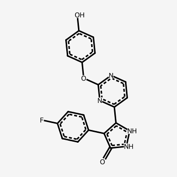 O=c1[nH][nH]c(-c2ccnc(Oc3ccc(O)cc3)n2)c1-c1ccc(F)cc1